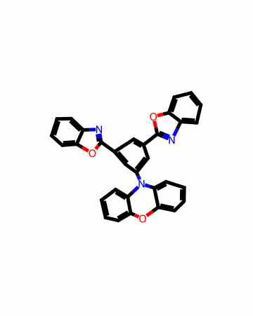 c1ccc2c(c1)Oc1ccccc1N2c1cc(-c2nc3ccccc3o2)cc(-c2nc3ccccc3o2)c1